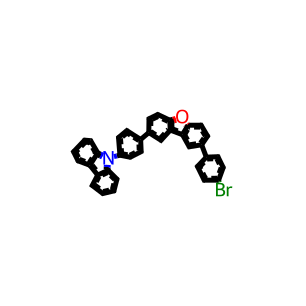 Brc1ccc(-c2ccc3oc4ccc(-c5ccc(-n6c7ccccc7c7ccccc76)cc5)cc4c3c2)cc1